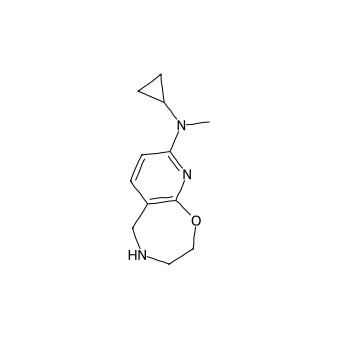 CN(c1ccc2c(n1)OCCNC2)C1CC1